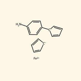 Nc1ccc(-[c-]2cccc2)cc1.[Fe+2].c1cc[cH-]c1